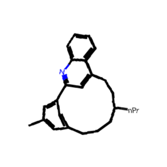 CCCC1CCCc2cc(C)cc(c2)-c2cc(c3ccccc3n2)CC1